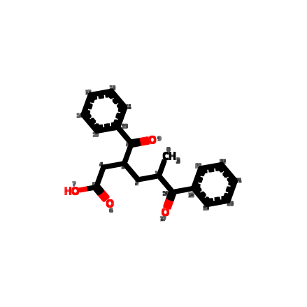 CC(CC(CC(=O)O)C(=O)c1ccccc1)C(=O)c1ccccc1